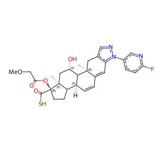 COCC(=O)O[C@]1(C(=O)S)CCC2[C@@H]3C=CC4=Cc5c(cnn5-c5ccc(F)nc5)C[C@]4(C)C3[C@@H](O)C[C@@]21C